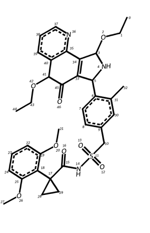 CCOC1NC(c2ccc(CS(=O)(=O)NC(=O)C3(c4c(OC)cccc4OC)CC3)cc2C)C2=C1c1ncccc1C(OCC)C2=O